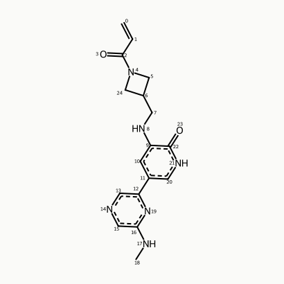 C=CC(=O)N1CC(CNc2cc(-c3cncc(NC)n3)c[nH]c2=O)C1